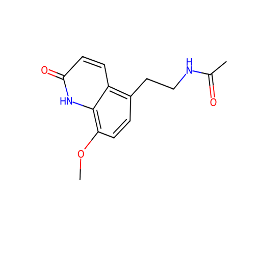 COc1ccc(CCNC(C)=O)c2ccc(=O)[nH]c12